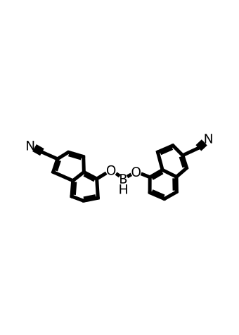 N#Cc1ccc2c(OBOc3cccc4cc(C#N)ccc34)cccc2c1